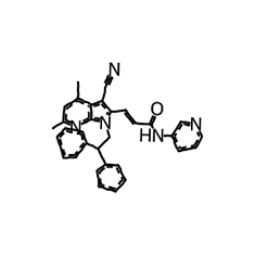 Cc1cc(C)c2c(C#N)c(C=CC(=O)Nc3cccnc3)n(CC(c3ccccc3)c3ccccc3)c2n1